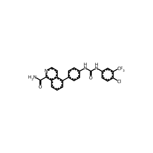 NC(=O)c1nccc2c(-c3ccc(NC(=O)Nc4ccc(Cl)c(C(F)(F)F)c4)cc3)cccc12